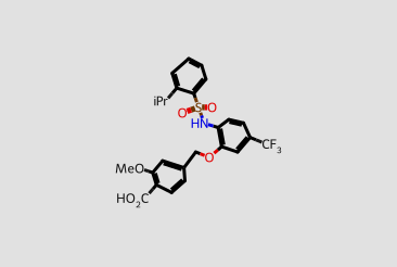 COc1cc(COc2cc(C(F)(F)F)ccc2NS(=O)(=O)c2ccccc2C(C)C)ccc1C(=O)O